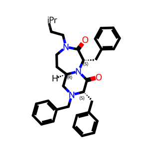 CC(C)CCN1CC[C@@H]2CN(Cc3ccccc3)[C@@H](Cc3ccccc3)C(=O)N2[C@@H](Cc2ccccc2)C1=O